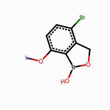 OB1OCc2c(Br)ccc(OI)c21